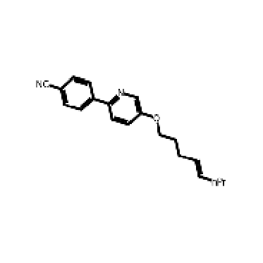 CCCC=CCCCOc1ccc(-c2ccc(C#N)cc2)nc1